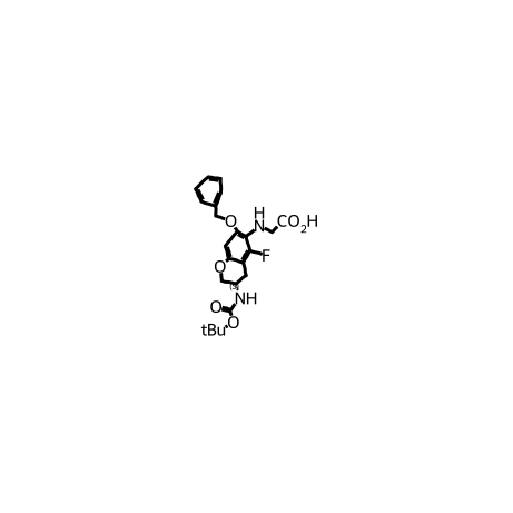 CC(C)(C)OC(=O)N[C@@H]1COc2cc(OCc3ccccc3)c(NCC(=O)O)c(F)c2C1